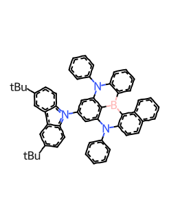 CC(C)(C)c1ccc2c(c1)c1cc(C(C)(C)C)ccc1n2-c1cc2c3c(c1)N(c1ccccc1)c1ccc4ccccc4c1B3c1ccccc1N2c1ccccc1